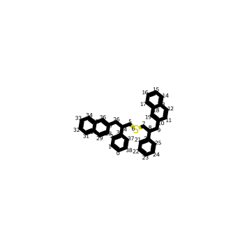 c1ccc(C(CSCC(Cc2ccc3ccccc3c2)c2ccccc2)Cc2ccc3ccccc3c2)cc1